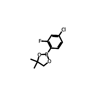 CC1(C)COB(c2ccc(Cl)cc2F)O1